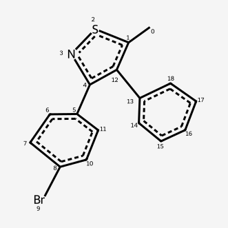 Cc1snc(-c2ccc(Br)cc2)c1-c1ccccc1